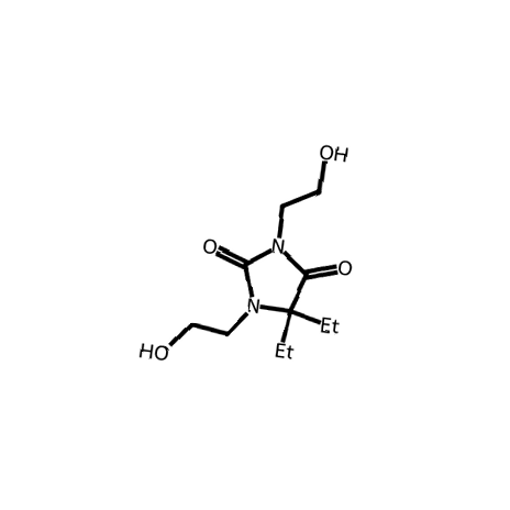 CCC1(CC)C(=O)N(CCO)C(=O)N1CCO